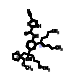 CCC/C=C(\CCCC)c1cc(C(O)(CCCOC)C[C@@]2(COC)C=CCO2)ccc1NC(=O)c1nc(C#N)c[nH]1